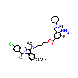 CCN(Cc1cc(C(=O)OCCCCCN(C(C)=O)c2c(C)n(C(=O)c3ccc(Cl)cc3)c3ccc(OC)cc23)cc(Br)c1N)C1CCCCC1